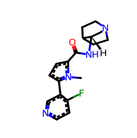 Cn1c(C(=O)N[C@H]2CN3CCC2CC3)ccc1-c1cnccc1F